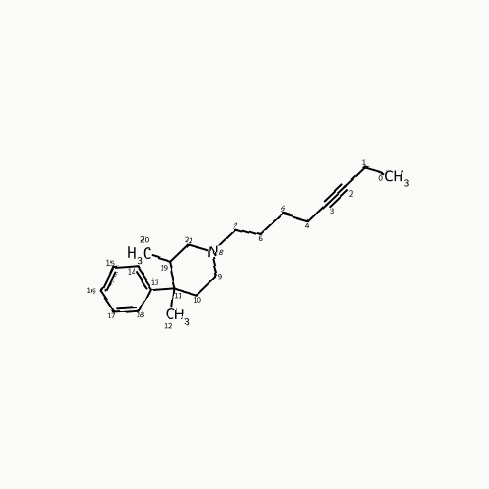 CCC#CCCCCN1CCC(C)(c2ccccc2)C(C)C1